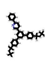 CC(C)(C)CC(C)(C)c1ccc(-c2cc(-c3ccc(C(C)(C)CC(C)(C)C)cc3)cc(-c3ccc(-c4ccccc4)nc3)c2)cc1